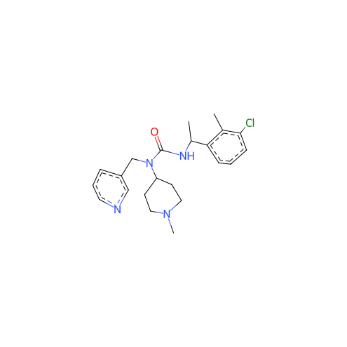 Cc1c(Cl)cccc1C(C)NC(=O)N(Cc1cccnc1)C1CCN(C)CC1